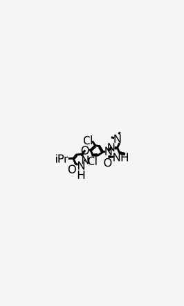 C=C1NC(=O)N(c2cc(Cl)c(Oc3cc(C(C)C)c(=O)[nH]n3)c(Cl)c2)N=C1CN(C)C